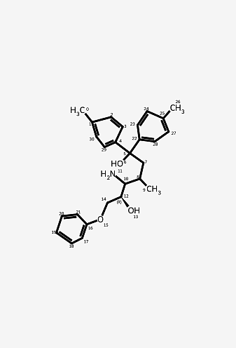 Cc1ccc(C(O)(CC(C)C(N)[C@@H](O)COc2ccccc2)c2ccc(C)cc2)cc1